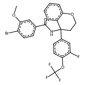 COc1cc(C(=O)NC2(c3ccc(OC(F)(F)F)c(F)c3)CCOc3cccnc32)ccc1Br